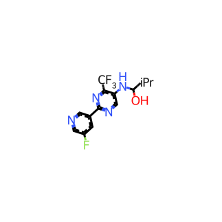 CC(C)C(O)Nc1cnc(-c2cncc(F)c2)nc1C(F)(F)F